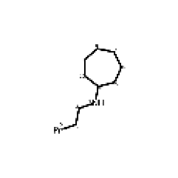 CC(C)CCNC1CCCCCC1